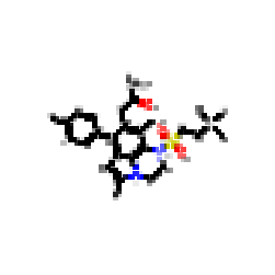 COC(=O)Cc1c(C)c2c3c(cc(C)n3CCN2S(=O)(=O)CC[Si](C)(C)C)c1-c1ccc(C)cc1